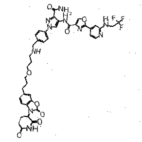 NC(=O)c1nn(-c2ccc(CNCCCOCCCc3ccc4c(c3)oc(=O)n4C3CCC(=O)NC3=O)cc2)cc1NC(=O)c1coc(-c2ccnc(NCC(F)(F)F)c2)n1